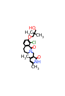 Cc1cc(C)c(CN2CCCc3ccc(OCC(C)(C)CO)c(Cl)c3C2=O)c(=O)[nH]1